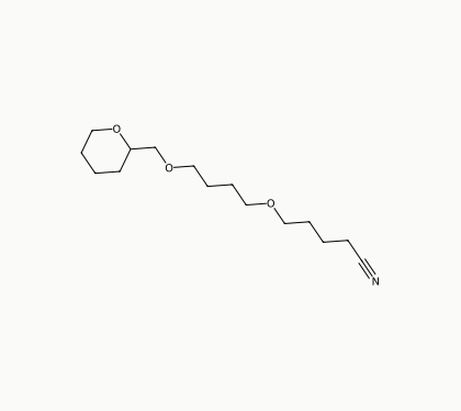 N#CCCCCOCCCCOCC1CCCCO1